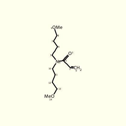 C=CC(=O)N(CCCCOC)CCCCOC